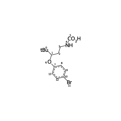 CC(C)(C)C(CCNC(=O)O)Oc1ccc(Br)cc1